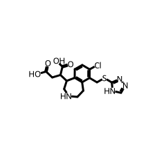 O=C(O)CC(C(=O)O)C1CNCCc2c1ccc(Cl)c2CSc1nnc[nH]1